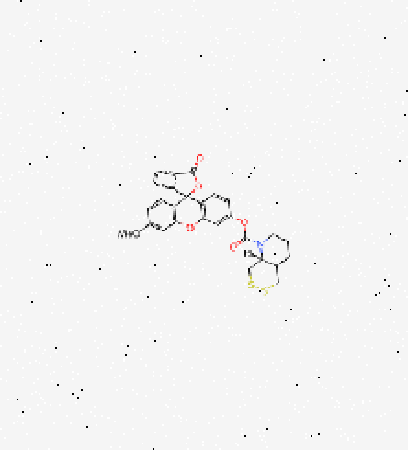 COc1ccc2c(c1)Oc1cc(OC(=O)N3CCCC4CSSC[C@@H]43)ccc1C21OC(=O)c2ccccc21